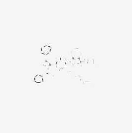 NCCCC[C@H](NC(=O)[C@@H]1[C@@H](c2ccccc2)CN1C(=O)c1ccccc1)C(=O)N[C@@H]1CCCC[C@H]1C(N)=O